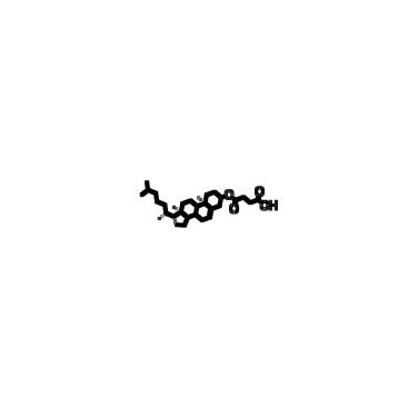 CC(C)CCC[C@@H](C)[C@H]1CCC2C3CC=C4CC(OC(=O)CCC(=O)O)CC[C@]4(C)C3CC[C@@]21C